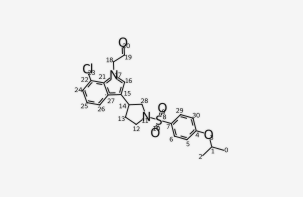 CC(C)Oc1ccc(S(=O)(=O)N2CCC(c3cn(CC=O)c4c(Cl)cccc34)C2)cc1